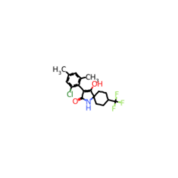 Cc1cc(C)c(C2=C(O)C3(CCC(C(F)(F)F)CC3)NC2=O)c(Cl)c1